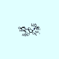 COC1C(ON(C)N)[C@@H](/C=C/P(=O)(O)O)O[C@H]1n1ccc(=O)[nH]c1=O